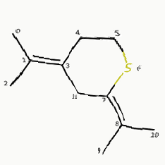 CC(C)=C1CCSC(=C(C)C)C1